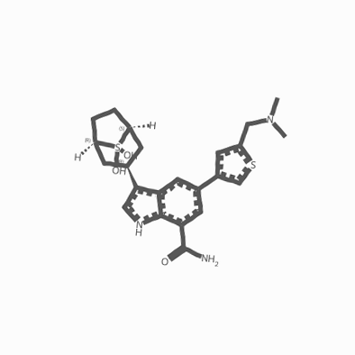 CN(C)Cc1cc(-c2cc(C(N)=O)c3[nH]cc([C@H]4C[C@H]5CC[C@@H](C4)S5(O)O)c3c2)cs1